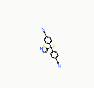 N#Cc1ccc(C(F)(c2ccc(C#N)cc2)c2ccns2)cc1